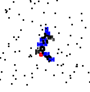 CCc1cc(Nc2nccn3c(-c4c[nH]nc4C(F)(F)F)cnc23)ccc1C(=O)NCC1CCNC1